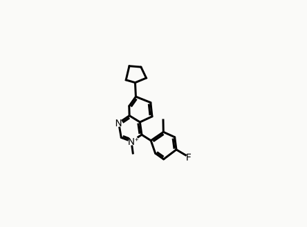 Cc1cc(F)ccc1-c1c2ccc(C3CCCC3)cc2nc[n+]1C